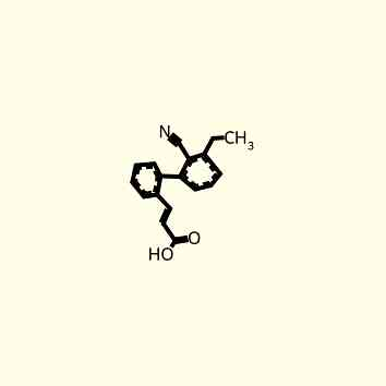 CCc1cccc(-c2ccccc2C=CC(=O)O)c1C#N